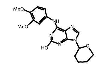 COc1ccc(Nc2nc(O)nc3c2ncn3C2CCCCO2)cc1OC